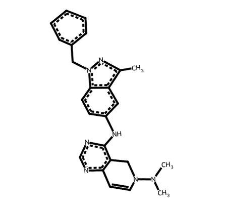 Cc1nn(Cc2ccccc2)c2ccc(Nc3ncnc4c3CN(N(C)C)C=C4)cc12